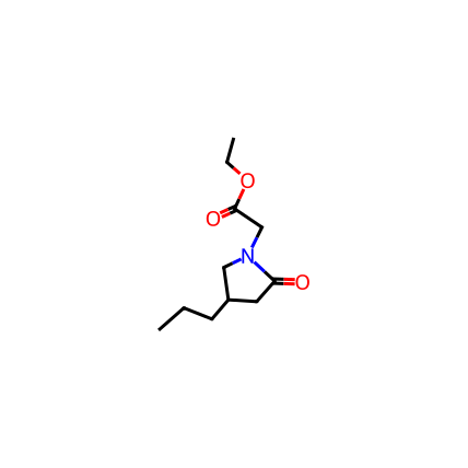 CCCC1CC(=O)N(CC(=O)OCC)C1